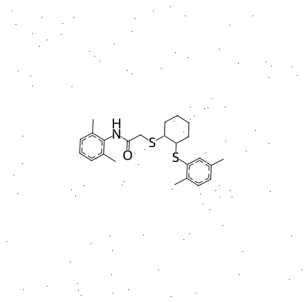 Cc1ccc(C)c(SC2CCCCC2SCC(=O)Nc2c(C)cccc2C)c1